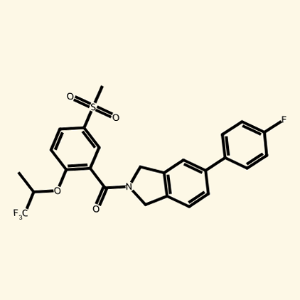 CC(Oc1ccc(S(C)(=O)=O)cc1C(=O)N1Cc2ccc(-c3ccc(F)cc3)cc2C1)C(F)(F)F